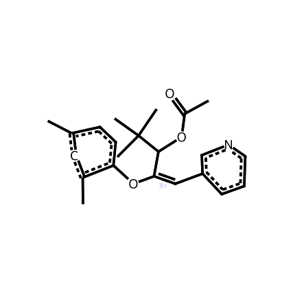 CC(=O)OC(/C(=C\c1cccnc1)Oc1ccc(C)cc1C)C(C)(C)C